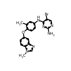 Cc1cc(Nc2nc(N)ncc2Br)ccc1Oc1ccc2c(c1)ncn2C